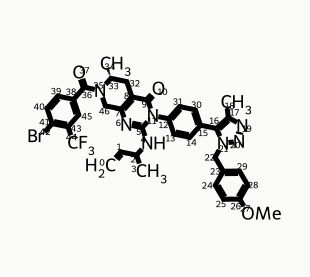 C=CC(C)Nc1nc2c(c(=O)n1-c1ccc(-c3c(C)nnn3Cc3ccc(OC)cc3)cc1)C[C@@H](C)N(C(=O)c1ccc(Br)c(C(F)(F)F)c1)C2